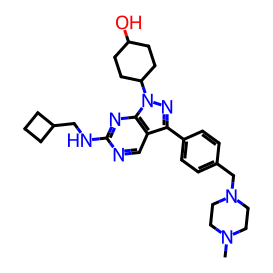 CN1CCN(Cc2ccc(-c3nn(C4CCC(O)CC4)c4nc(NCC5CCC5)ncc34)cc2)CC1